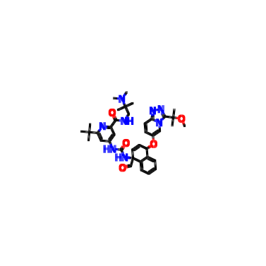 COC(C)(C)c1nnc2ccc(O[C@@H]3C=C[C@](C=O)(NC(=O)Nc4cc(C(=O)NCC(C)(C)N(C)C)nc(C(C)(C)C)c4)c4ccccc43)cn12